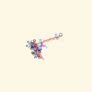 CC[C@H](C)[C@@H]([C@@H](CC(=O)N1CCC[C@H]1[C@H](OC)[C@@H](C)C(=O)N[C@H](C)[C@@H](O)c1ccccc1)OC)N(C)C(=O)[C@@H](NC(=O)[C@H](C(C)C)N(C)C(=O)OCc1ccc(NC(=O)[C@H](CCCNC(N)=O)NC(=O)[C@@H](NC(=O)[C@H](N)CCCCNC(=O)CCOCCOCCOCCOCCNC(=O)COC2C#CCCCCC2)C(C)C)cc1)C(C)C